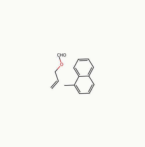 C=CCOC=O.Cc1cccc2ccccc12